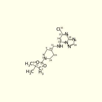 CC(C)(C)OC(=O)N1CCC(CNc2cc(Cl)nc3ncnn23)CC1